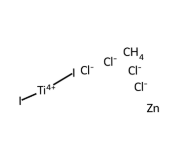 C.[Cl-].[Cl-].[Cl-].[Cl-].[I][Ti+4][I].[Zn]